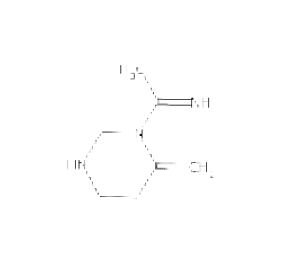 C=C1CCNCN1C(C)=N